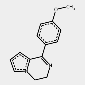 COc1ccc(C2=NCCn3cccc32)cc1